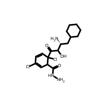 NNC(=O)C1C=C(Cl)C=CC1(Cl)C(=O)C(O)[C@H](N)CC1CCCCC1